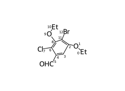 CCOc1cc(C=O)c(Cl)c(OCC)c1Br